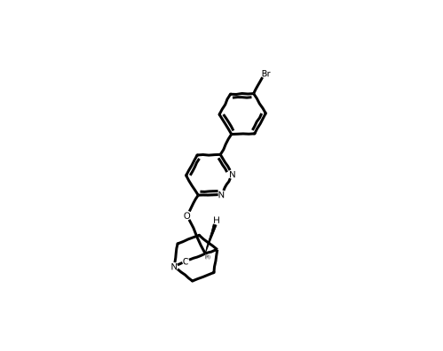 Brc1ccc(-c2ccc(O[C@H]3CN4CCC3CC4)nn2)cc1